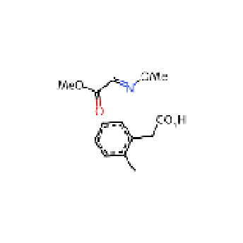 CON=CC(=O)OC.Cc1ccccc1CC(=O)O